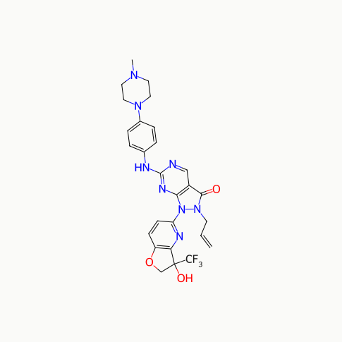 C=CCn1c(=O)c2cnc(Nc3ccc(N4CCN(C)CC4)cc3)nc2n1-c1ccc2c(n1)C(O)(C(F)(F)F)CO2